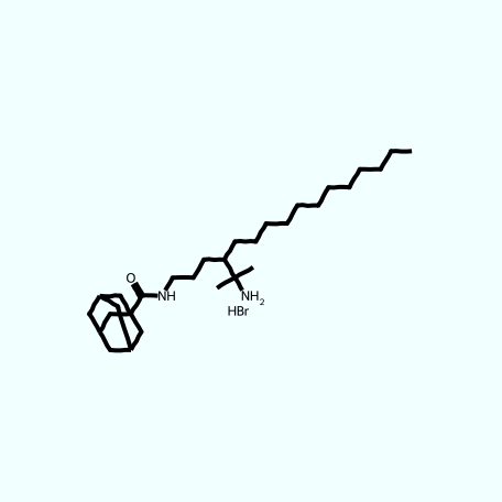 Br.CCCCCCCCCCCCC(CCCNC(=O)C12CC3CC(CC(C3)C1)C2)C(C)(C)N